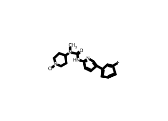 CN(C(=O)Nc1ccc(-c2cccc(F)c2)cn1)C1CCN(Cl)CC1